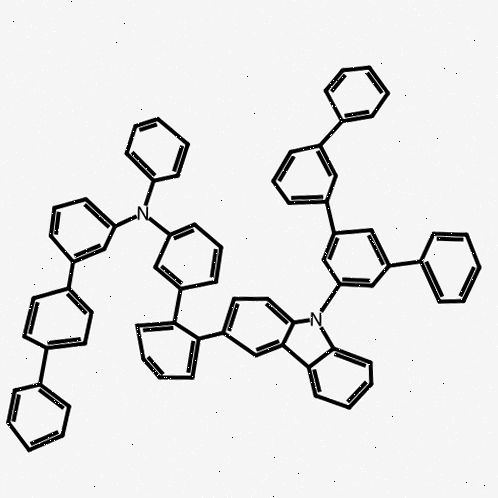 c1ccc(-c2ccc(-c3cccc(N(c4ccccc4)c4cccc(-c5ccccc5-c5ccc6c(c5)c5ccccc5n6-c5cc(-c6ccccc6)cc(-c6cccc(-c7ccccc7)c6)c5)c4)c3)cc2)cc1